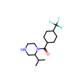 CC(C)C1CNCCN1C(=O)C1CCC(C(F)(F)F)CC1